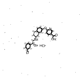 Cl.O=C(O)c1ccc(Oc2ccc3c(c2)C[C@@H](NC[C@@H](O)c2cccc(Cl)c2)CC3)nc1